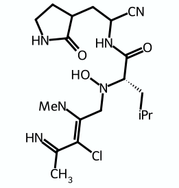 CN/C(CN(O)[C@@H](CC(C)C)C(=O)NC(C#N)CC1CCNC1=O)=C(/Cl)C(C)=N